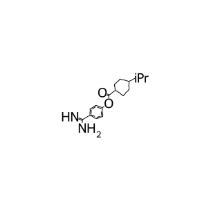 CC(C)C1CCC(C(=O)Oc2ccc(C(=N)N)cc2)CC1